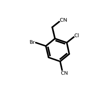 N#CCc1c(Cl)cc(C#N)cc1Br